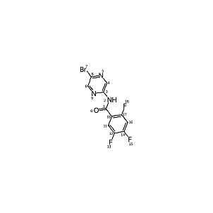 O=C(Nc1cnc(Br)cn1)c1cc(F)c(F)cc1F